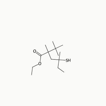 CCOC(=O)C(C)(CC(C)(S)CC)C(C)(C)C